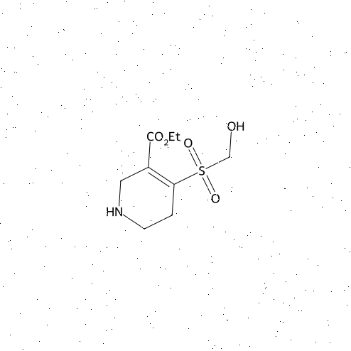 CCOC(=O)C1=C(S(=O)(=O)CO)CCNC1